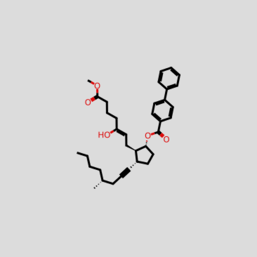 CCCC[C@@H](C)CC#C[C@H]1CC[C@@H](OC(=O)c2ccc(-c3ccccc3)cc2)[C@@H]1CC=C(O)CCCC(=O)OC